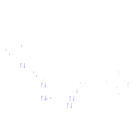 N#Cc1cnn2cc(OCCCOC(=O)C(F)(F)F)cc(-c3ccc(N4CCN(Cc5ccc(Cl)cn5)CC4)nc3)c12